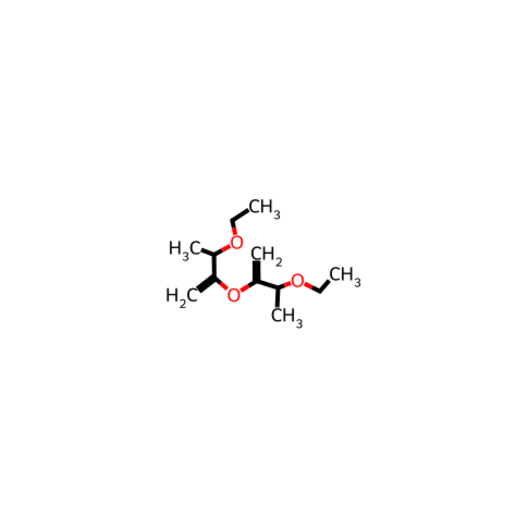 C=C(OC(=C)C(C)OCC)C(C)OCC